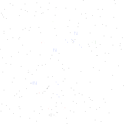 CC(C)(C)OC(=O)N1CCN2c3cccc(c3)[C@@H](n3cnc(-c4c(-n5cc(Cl)nn5)ccc(Cl)c4F)cc3=O)CCCCCNC(=O)[C@H]2C1